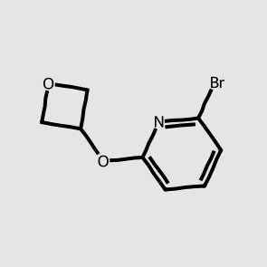 Brc1cccc(OC2COC2)n1